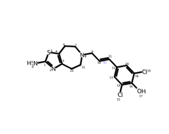 Nc1nc2c(s1)CCN(C/C=C/c1cc(Cl)c(O)c(Cl)c1)CC2